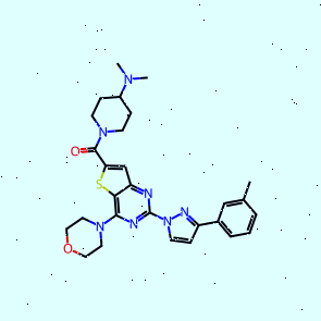 Cc1cccc(-c2ccn(-c3nc(N4CCOCC4)c4sc(C(=O)N5CCC(N(C)C)CC5)cc4n3)n2)c1